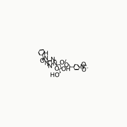 CC(OCCc1ccc([N+](=O)[O-])cc1)O[C@@H]1[C@H](O)[C@@H](CO)O[C@H]1n1cnc2c(NC(=O)c3ccccc3)ncnc21